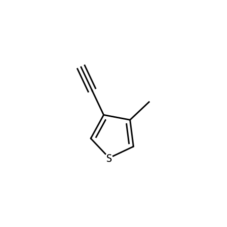 C#Cc1cscc1C